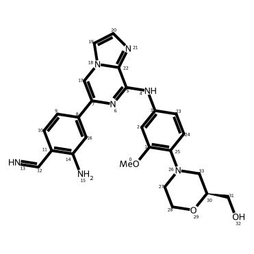 COc1cc(Nc2nc(-c3ccc(C=N)c(N)c3)cn3ccnc23)ccc1N1CCO[C@H](CO)C1